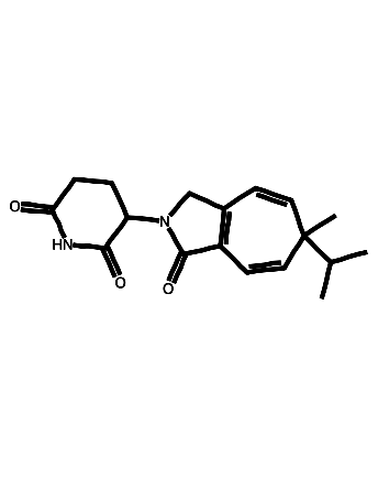 CC(C)C1(C)C=CC2=C(C=C1)C(=O)N(C1CCC(=O)NC1=O)C2